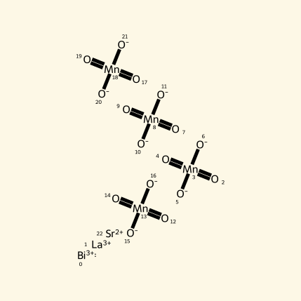 [Bi+3].[La+3].[O]=[Mn](=[O])([O-])[O-].[O]=[Mn](=[O])([O-])[O-].[O]=[Mn](=[O])([O-])[O-].[O]=[Mn](=[O])([O-])[O-].[Sr+2]